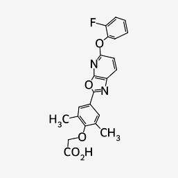 Cc1cc(-c2nc3ccc(Oc4ccccc4F)nc3o2)cc(C)c1OCC(=O)O